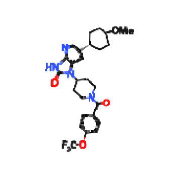 CO[C@H]1CC[C@H](c2cnc3[nH]c(=O)n(C4CCN(C(=O)c5ccc(OC(F)(F)F)cc5)CC4)c3c2)CC1